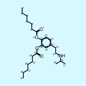 CCCCCCC(=O)Oc1ccc(CCNC(C)C)cc1OC(=O)CCCCCC